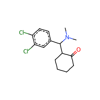 CN(C)C(c1ccc(Cl)c(Cl)c1)C1CCCCC1=O